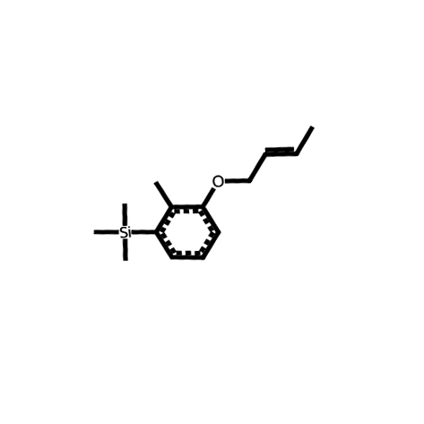 CC=CCOc1cccc([Si](C)(C)C)c1C